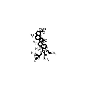 C=CCN(CC(=O)OC)[C@H]1CC[C@@]2(C)C(CC[C@]3(C)[C@@H]2C(=O)C=C2[C@@H]4C[C@@](C)(C(=O)O)CC[C@]4(C)CC[C@]23C)[C@]1(C)C(=O)OCc1oc(=O)oc1C